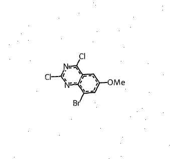 COc1cc(Br)c2nc(Cl)nc(Cl)c2c1